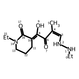 CCNN/C=C(/C)C(=O)/C(O)=C1\CCCN(CC)C1=O